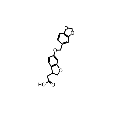 O=C(O)CC1COc2cc(OCc3ccc4c(c3)OCO4)ccc21